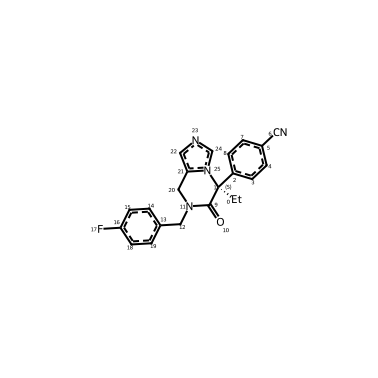 CC[C@]1(c2ccc(C#N)cc2)C(=O)N(Cc2ccc(F)cc2)Cc2cncn21